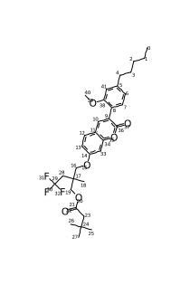 CCCCCc1ccc(-c2cc3ccc(OCC(C)(COC(=O)CC(C)(C)C)CC(F)(F)F)cc3oc2=O)c(OC)c1